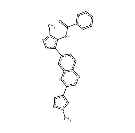 Cn1cc(-c2cnc3ccc(-c4cnn(C)c4NC(=O)c4ccccc4)cc3n2)cn1